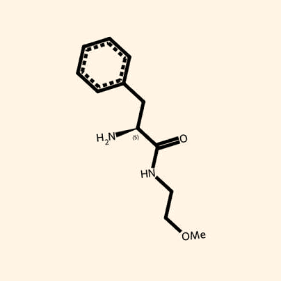 COCCNC(=O)[C@@H](N)Cc1ccccc1